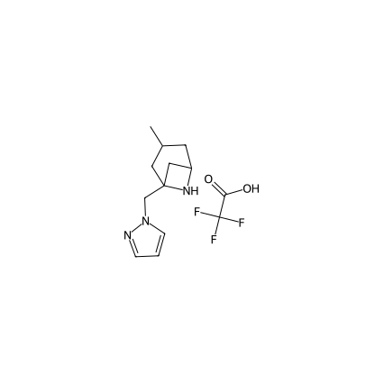 CC1CC2CC(Cn3cccn3)(C1)N2.O=C(O)C(F)(F)F